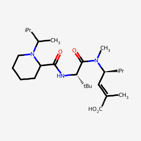 C/C(=C\[C@H](C(C)C)N(C)C(=O)[C@@H](NC(=O)C1CCCCN1C(C)C(C)C)C(C)(C)C)C(=O)O